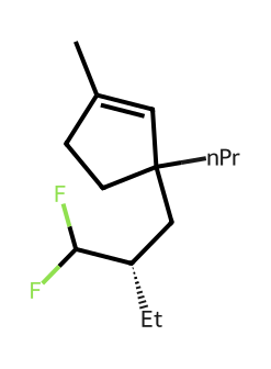 CCCC1(C[C@H](CC)C(F)F)C=C(C)CC1